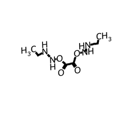 CCNNOC(=O)C(=O)ONNCC